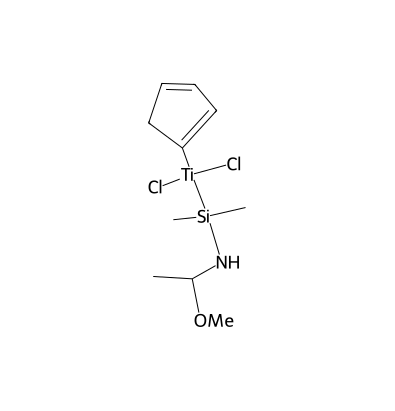 COC(C)N[Si](C)(C)[Ti]([Cl])([Cl])[C]1=CC=CC1